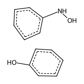 ONc1ccccc1.Oc1ccccc1